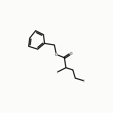 O=C(OCc1ccccc1)C(I)CCI